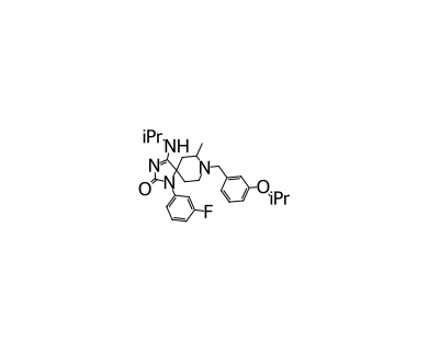 CC(C)NC1=NC(=O)N(c2cccc(F)c2)C12CCN(Cc1cccc(OC(C)C)c1)C(C)C2